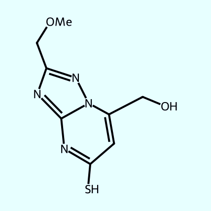 COCc1nc2nc(S)cc(CO)n2n1